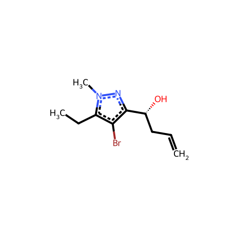 C=CC[C@@H](O)c1nn(C)c(CC)c1Br